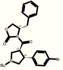 CC(C)(C)N1C[C@@H](C(=O)N2C(=O)OC[C@@H]2Cc2ccccc2)[C@H](c2ccc(Br)cc2)C1